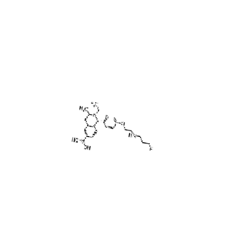 C[C@@H]1Cc2cc(B(O)O)ccc2[C@@H](c2ccc(OCCNCCCF)cn2)N1CC(F)(F)F